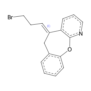 BrCC/C=C1\Cc2ccccc2Oc2ncccc21